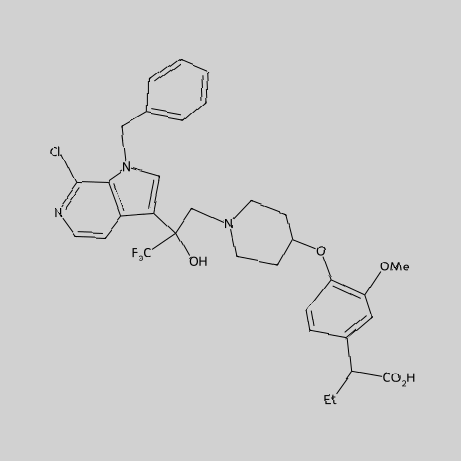 CCC(C(=O)O)c1ccc(OC2CCN(CC(O)(c3cn(Cc4ccccc4)c4c(Cl)nccc34)C(F)(F)F)CC2)c(OC)c1